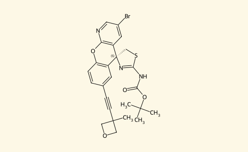 CC1(C#Cc2ccc3c(c2)[C@@]2(CSC(NC(=O)OC(C)(C)C)=N2)c2cc(Br)cnc2O3)COC1